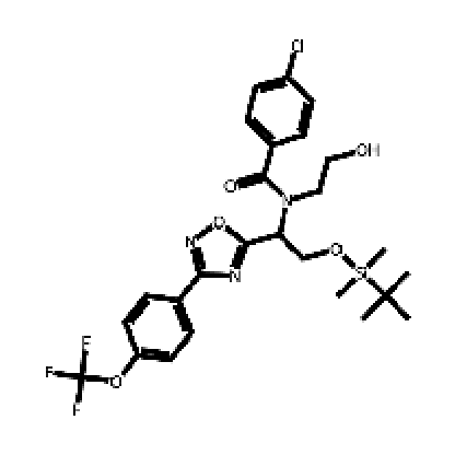 CC(C)(C)[Si](C)(C)OCC(c1nc(-c2ccc(OC(F)(F)F)cc2)no1)N(CCO)C(=O)c1ccc(Cl)cc1